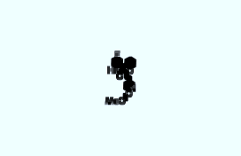 COCCOc1ccc(/C=C/C(=O)c2c(-c3ccccc3)c3cc(F)ccc3[nH]c2=O)cn1